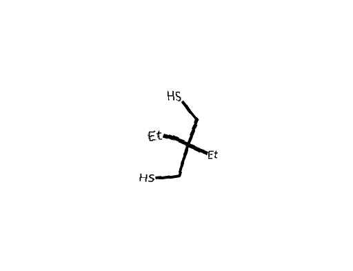 CCC(CC)(CS)CS